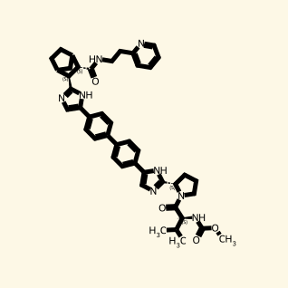 COC(=O)N[C@H](C(=O)N1CCC[C@H]1c1ncc(-c2ccc(-c3ccc(-c4cnc([C@H]5C6CCC(C6)[C@@H]5C(=O)NCCc5ccccn5)[nH]4)cc3)cc2)[nH]1)C(C)C